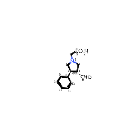 O=C[C@H]1CN(CC(=O)O)C[C@@H]1c1ccccc1